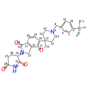 CC(F)(F)c1ccc(CN2CCC3(CC2)COc2c3ccc3c2CN(C2CCC(=O)NC2=O)C3=O)cc1